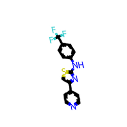 FC(F)(F)c1ccc(Nc2nc(-c3ccncc3)cs2)cc1